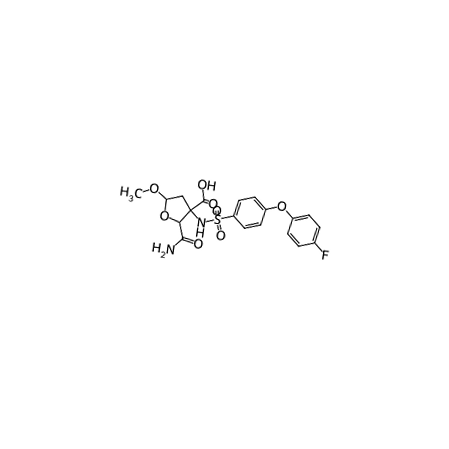 COC1CC(NS(=O)(=O)c2ccc(Oc3ccc(F)cc3)cc2)(C(=O)O)C(C(N)=O)O1